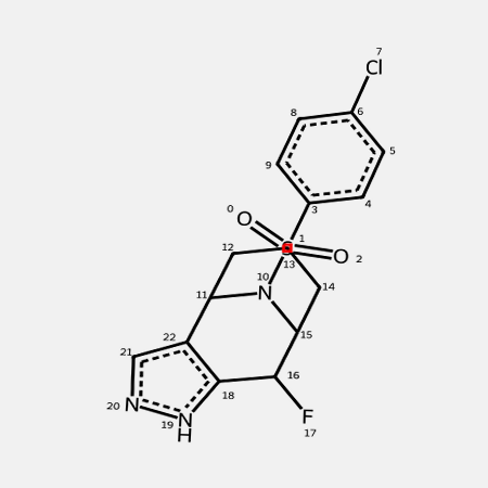 O=S(=O)(c1ccc(Cl)cc1)N1C2CCCC1C(F)c1[nH]ncc12